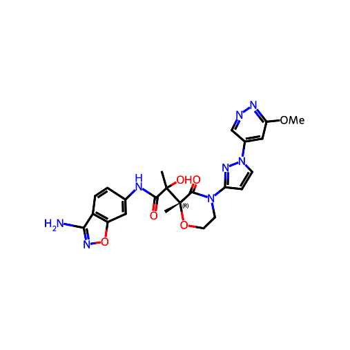 COc1cc(-n2ccc(N3CCO[C@](C)(C(C)(O)C(=O)Nc4ccc5c(N)noc5c4)C3=O)n2)cnn1